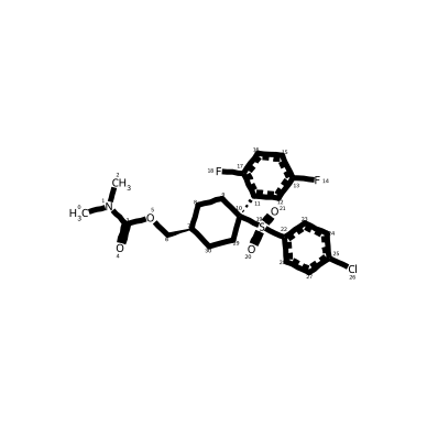 CN(C)C(=O)OC[C@H]1CC[C@@](c2cc(F)ccc2F)(S(=O)(=O)c2ccc(Cl)cc2)CC1